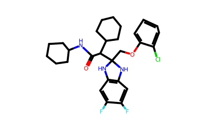 O=C(NC1CCCCC1)C(C1CCCCC1)C1(COc2ccccc2Cl)Nc2cc(F)c(F)cc2N1